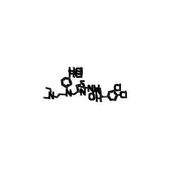 CCN(CC)CCCN(Cc1csc(NC(=O)NCc2ccc(Cl)c(Cl)c2)n1)c1ccccc1.Cl.Cl